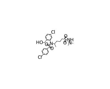 CC(CCCS(=O)(=O)NN(C)C)N(c1cc(Cl)ccc1CO)S(=O)(=O)c1ccc(Cl)cc1